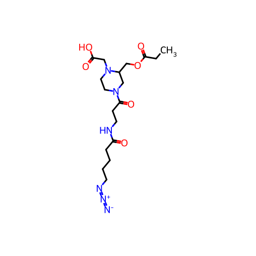 CCC(=O)OCC1CN(C(=O)CCNC(=O)CCCCN=[N+]=[N-])CCN1CC(=O)O